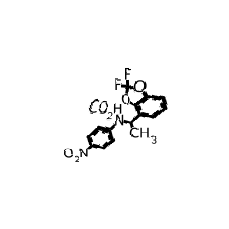 CC(c1cccc2c1OC(F)(F)O2)N(C(=O)O)c1ccc([N+](=O)[O-])cc1